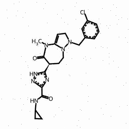 CN1C(=O)[C@H](c2nc(C(=O)NC3CC3)n[nH]2)CCN2C1=CCN2Cc1cccc(Cl)c1